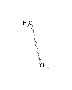 CCCCCCCCCCCCCSCC